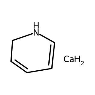 C1=CCNC=C1.[CaH2]